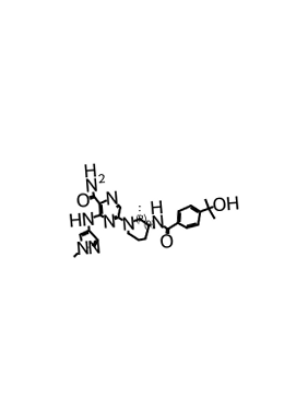 C[C@@H]1[C@H](NC(=O)c2ccc(C(C)(C)O)cc2)CCCN1c1cnc(C(N)=O)c(Nc2cnn(C)c2)n1